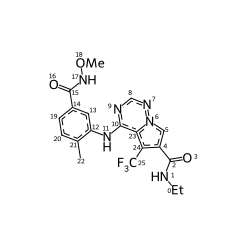 CCNC(=O)c1cn2ncnc(Nc3cc(C(=O)NOC)ccc3C)c2c1C(F)(F)F